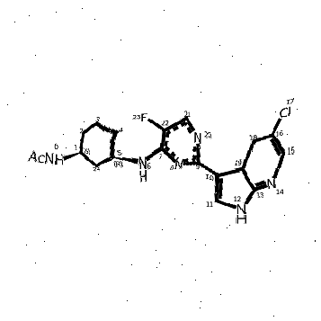 CC(=O)N[C@H]1CCC[C@@H](Nc2nc(C3=CNC4=NC=C(Cl)CC34)ncc2F)C1